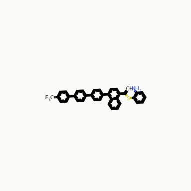 C=C(Sc1ccccc1N)c1ccc(-c2ccc(-c3ccc(-c4ccc(C(F)(F)F)cc4)cc3)cc2)c2ccccc12